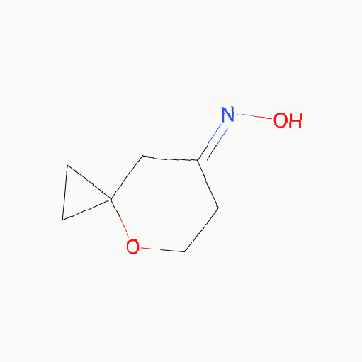 ON=C1CCOC2(CC2)C1